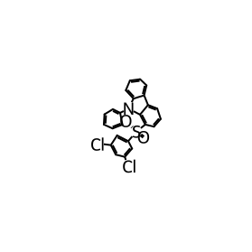 O=S(=O)(c1cc(Cl)cc(Cl)c1)c1cccc2c3ccccc3n(-c3ccccc3)c12